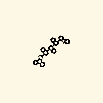 c1ccc2c(c1)oc1c(-c3ccc(-c4ccc(-c5ccc(-c6cnc7c8ccccc8c8ccccc8c7n6)c6ccccc56)c5ccccc45)c4ccccc34)cccc12